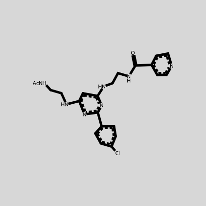 CC(=O)NCCNc1cc(NCCNC(=O)c2ccncc2)nc(-c2ccc(Cl)cc2)n1